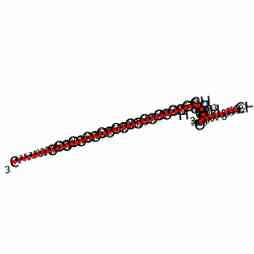 CCCCCCCCCCCCCCCCOCCOCCOCCOCCOCCOCCOCCOCCOCCOCCOCCOCCOCCOCCOCCOCCOCCOCCOCCOCC[N+](C)(C)CCC[N+](C)(C)OCC(CCCCCCCCCCCCCCCC)C1CO1